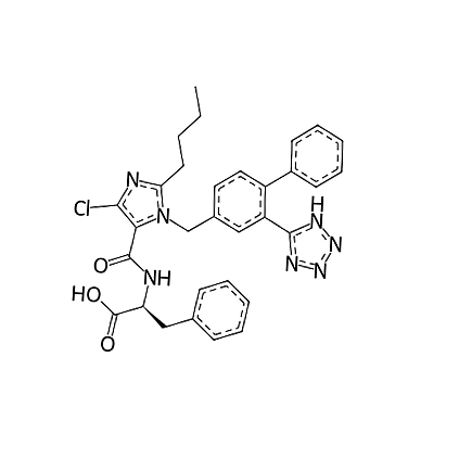 CCCCc1nc(Cl)c(C(=O)N[C@@H](Cc2ccccc2)C(=O)O)n1Cc1ccc(-c2ccccc2)c(-c2nnn[nH]2)c1